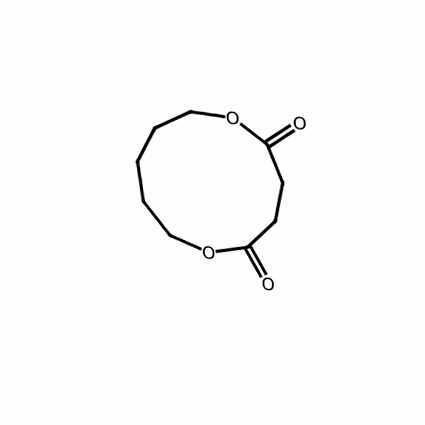 O=C1CCC(=O)OCCCCCO1